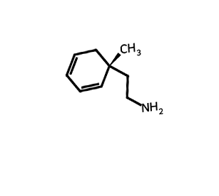 C[C@@]1(CCN)C=CC=CC1